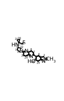 Cn1cc2cc(-c3ccc4nc(N5CC[C@@H](NC6(CF)CC6)C5)ccc4n3)c(O)cc2n1